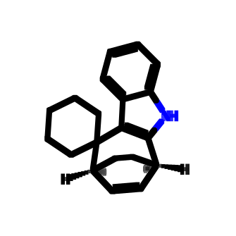 C1=C[C@H]2CC[C@@H]1C1(CCCCC1)c1c2[nH]c2ccccc12